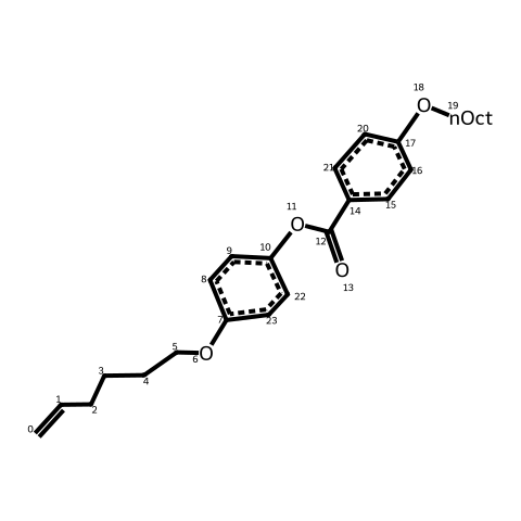 C=CCCCCOc1ccc(OC(=O)c2ccc(OCCCCCCCC)cc2)cc1